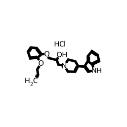 C=CCOc1ccccc1OCC(O)CN1CC=C(c2c[nH]c3ccccc23)CC1.Cl